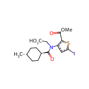 COC(=O)c1sc(I)cc1N(CC(=O)O)C(=O)[C@H]1CC[C@H](C)CC1